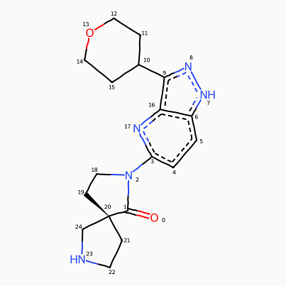 O=C1N(c2ccc3[nH]nc(C4CCOCC4)c3n2)CC[C@]12CCNC2